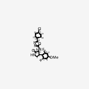 COc1cc(F)c(C2CNC(=O)[C@@H]2Nc2nnc(-c3ccc(Cl)cc3)o2)c(F)c1